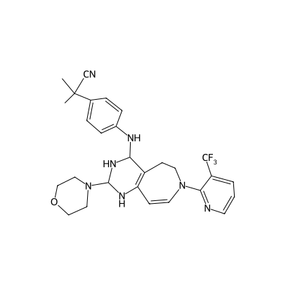 CC(C)(C#N)c1ccc(NC2NC(N3CCOCC3)NC3=C2CCN(c2ncccc2C(F)(F)F)C=C3)cc1